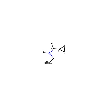 CCCCCN(C)C(C)C1CC1